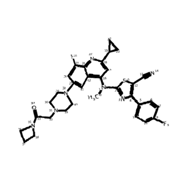 CN(c1nc(-c2ccc(F)cc2)c(C#N)s1)c1cc(C2CC2)nc2c(F)cc(N3CCN(CC(=O)N4CCC4)CC3)cc12